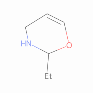 CCC1NCC=CO1